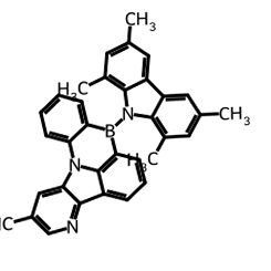 Cc1cc(C)c2c(c1)c1cc(C)cc(C)c1n2B1c2ccccc2-n2c3cc(C#N)cnc3c3cccc1c32